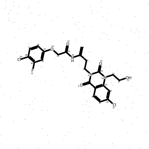 C=C(CCn1c(=O)c2ccc(Cl)cc2n(CCO)c1=O)NC(=O)COc1ccc(Cl)c(F)c1